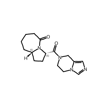 O=C([C@@H]1CC[C@@H]2CCCCC(=O)N21)N1CCn2cncc2C1